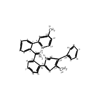 C=C(c1ccccc1-c1cc(C)ccn1)c1ccccc1-c1cc(C)c(-c2ccccc2)cn1